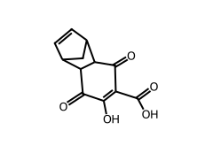 O=C(O)C1=C(O)C(=O)C2C3C=CC(C3)C2C1=O